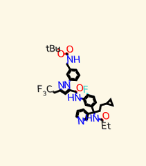 CCC(=O)NC(CCC1CC1)(c1cccnc1)c1ccc(F)c(NC(=O)c2cc(CC(F)(F)F)nn2-c2cccc(CNC(=O)OC(C)(C)C)c2)c1